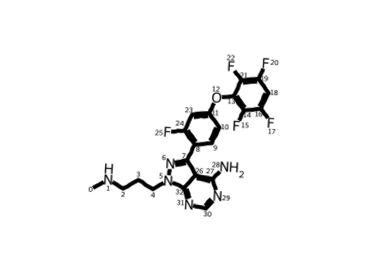 CNCCCn1nc(-c2ccc(Oc3c(F)c(F)cc(F)c3F)cc2F)c2c(N)ncnc21